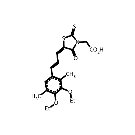 CCOc1c(C)cc(C=CC=C2SC(=S)N(CC(=O)O)C2=O)c(C)c1OCC